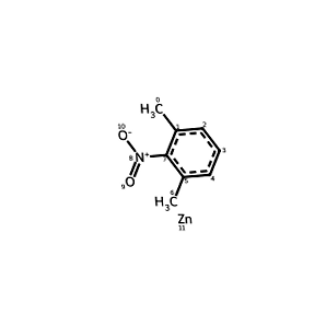 Cc1cccc(C)c1[N+](=O)[O-].[Zn]